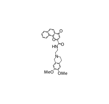 COc1cc2c(cc1OC)CN(CCNC(=O)c1cc(=O)c3ccc4ccccc4c3o1)CC2